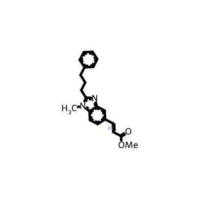 COC(=O)/C=C/c1ccc2c(c1)nc(CCCc1ccccc1)n2C